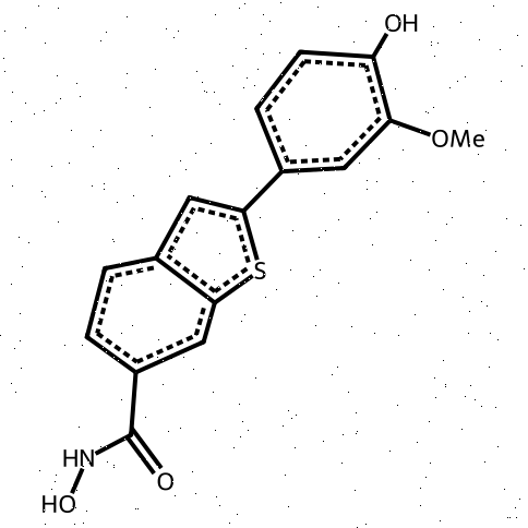 COc1cc(-c2cc3ccc(C(=O)NO)cc3s2)ccc1O